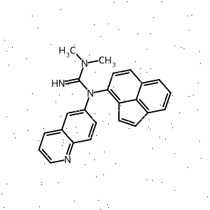 CN(C)C(=N)N(c1ccc2ncccc2c1)c1ccc2cccc3c2c1C=C3